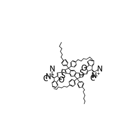 [C-]#[N+]/C(C#N)=C1\C(=C\c2cc3c(s2)-c2cc4c(cc2C3(c2ccc(CCCCCC)cc2)c2ccc(CCCCCC)cc2)-c2sc(/C=C3\C(=O)c5ccccc5\C3=C(\C#N)[N+]#[C-])cc2C4(c2ccc(CCCCCC)cc2)c2ccc(CCCCCC)cc2)C(=O)c2ccccc21